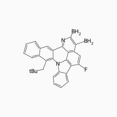 Bc1nc2c3cc4ccccc4c(CC(C)(C)C)c3n3c4ccccc4c4c(F)cc(c1B)c2c43